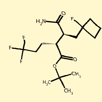 CC(C)(C)OC(=O)[C@H](CCC(F)(F)F)[C@H](CC1(F)CCC1)C(N)=O